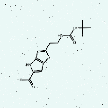 CC(C)(C)OC(=O)NCCc1cc2[nH]c(C(=O)O)cc2s1